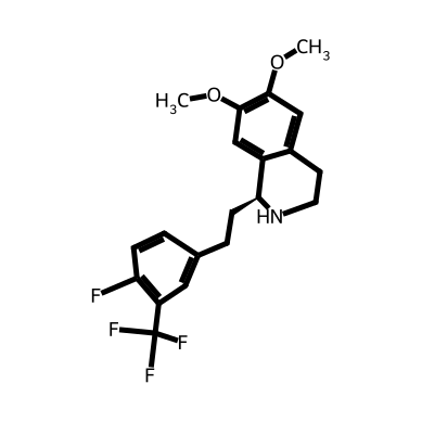 COc1cc2c(cc1OC)[C@H](CCc1ccc(F)c(C(F)(F)F)c1)NCC2